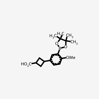 COc1ccc(C2CC(C(=O)O)C2)cc1B1OC(C)(C)C(C)(C)O1